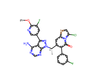 CC(C)Oc1ncc(-c2nn([C@@H](C)c3cc4scc(Cl)n4c(=O)c3-c3cccc(F)c3)c3ncnc(N)c23)cc1F